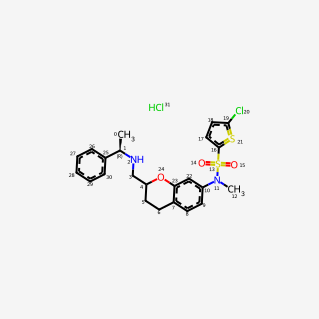 C[C@@H](NCC1CCc2ccc(N(C)S(=O)(=O)c3ccc(Cl)s3)cc2O1)c1ccccc1.Cl